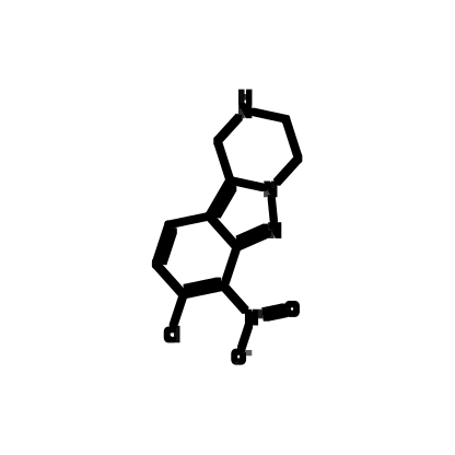 O=[N+]([O-])c1c(Cl)ccc2c3n(nc12)CCNC3